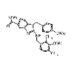 COC(=O)c1ccc2c(c1)N=C(NCc1ncc(C)c(OC)c1C)C2Cc1ccc(OC)cc1